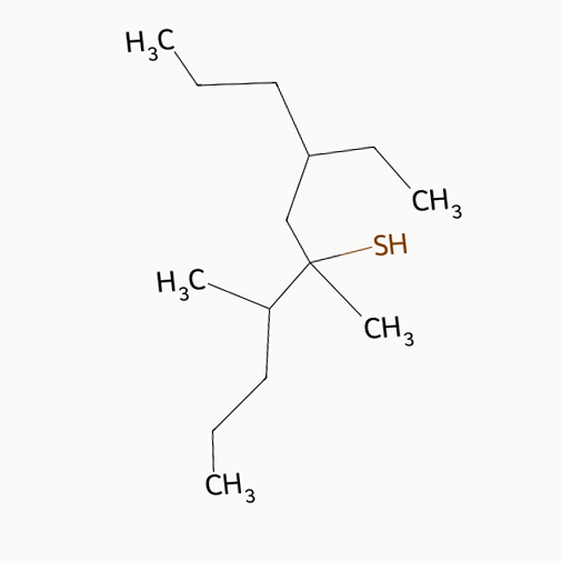 CCCC(CC)CC(C)(S)C(C)CCC